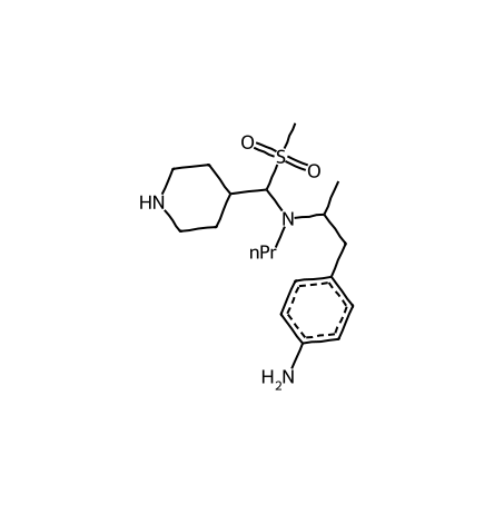 CCCN(C(C)Cc1ccc(N)cc1)C(C1CCNCC1)S(C)(=O)=O